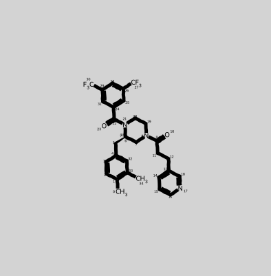 Cc1ccc(C[C@@H]2CN(C(=O)CCc3cccnc3)CCN2C(=O)c2cc(C(F)(F)F)cc(C(F)(F)F)c2)cc1C